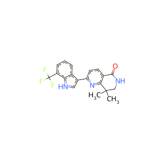 CC1(C)CNC(=O)c2ccc(-c3c[nH]c4c(C(F)(F)F)cccc34)nc21